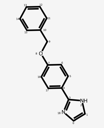 [c]1c[nH]c(-c2ccc(OCc3ccccc3)cc2)n1